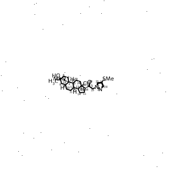 COC[C@]12CC[C@@](C)(O)C[C@H]1CC[C@H]1[C@@H]3CC[C@H](C(=O)Cn4cc(SC)cn4)[C@@]3(C)CC[C@@H]12